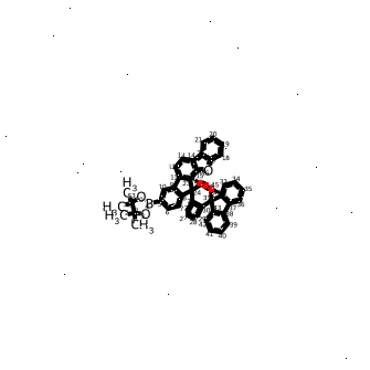 CC1(C)OB(c2ccc3c(c2)-c2ccc4c(oc5ccccc54)c2C32c3ccccc3C3(c4ccccc4-c4ccccc43)c3ccccc32)OC1(C)C